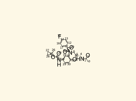 CC(=O)NC[C@H]1CN(S(=O)(=O)c2ccc(F)cc2)c2cc(NC(=O)OC3(C)CC3)ccc2O1